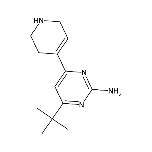 CC(C)(C)c1cc(C2=CCNCC2)nc(N)n1